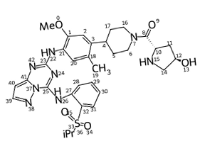 COc1cc(C2CCN(C(=O)[C@@H]3C[C@@H](O)CN3)CC2)c(C)cc1Nc1nc(Nc2ccccc2S(=O)(=O)C(C)C)n2nccc2n1